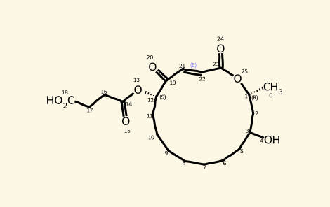 C[C@@H]1CC(O)CCCCCCC[C@H](OC(=O)CCC(=O)O)C(=O)/C=C/C(=O)O1